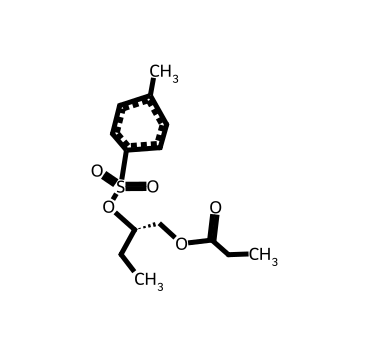 CCC(=O)OC[C@H](CC)OS(=O)(=O)c1ccc(C)cc1